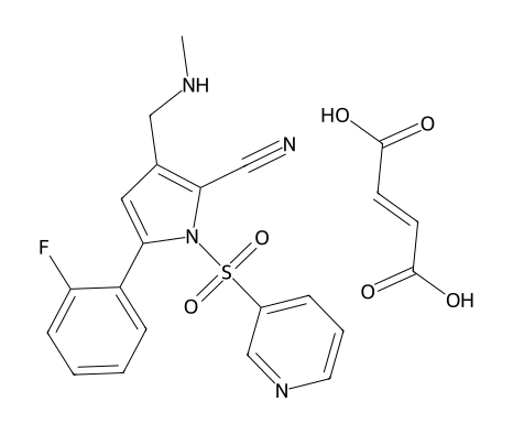 CNCc1cc(-c2ccccc2F)n(S(=O)(=O)c2cccnc2)c1C#N.O=C(O)C=CC(=O)O